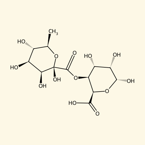 C[C@H]1O[C@](O)(C(=O)O[C@H]2[C@H](O)[C@H](O)[C@H](O)O[C@H]2C(=O)O)[C@@H](O)[C@@H](O)[C@@H]1O